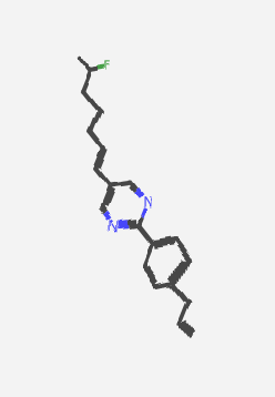 C=CCc1ccc(-c2ncc(/C=C/CCCC(C)F)cn2)cc1